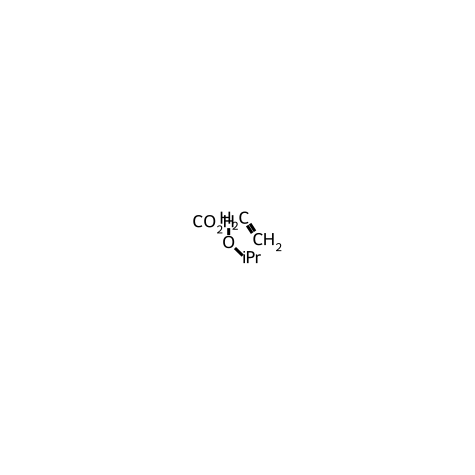 C=C.CC(C)OC(=O)O